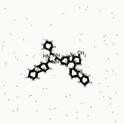 CC1CC=C(c2cccc3c2sc2ccccc23)c2c1sc1cc(C3NC(c4ccccc4)NC(c4ccc5c(c4)sc4ccccc45)N3)ccc21